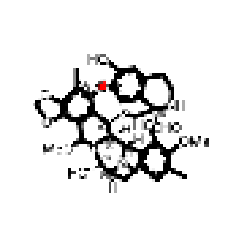 COc1cc2c(cc1O)CCN[C@]2(C=O)CS[C@@H]1c2c(OC(C)=O)c(C)c3c(c2C(OC)N2[C@@H]1[C@@H]1c4c(cc(C)c(OC)c4O)C[C@H]([C@@H]2O)N1C)OCO3